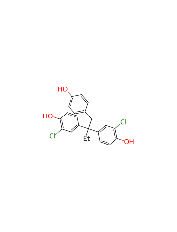 CCC(Cc1ccc(O)cc1)(c1ccc(O)c(Cl)c1)c1ccc(O)c(Cl)c1